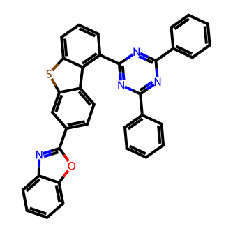 c1ccc(-c2nc(-c3ccccc3)nc(-c3cccc4sc5cc(-c6nc7ccccc7o6)ccc5c34)n2)cc1